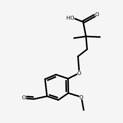 COc1cc(C=O)ccc1OCCC(C)(C)C(=O)O